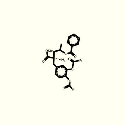 COC(=O)[C@](N)(Cc1ccc(OC(=O)C(C)C)c(OC(=O)C(C)C)c1)CC(C)OC(=O)c1ccccc1